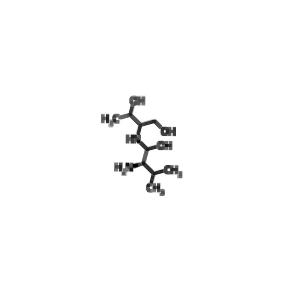 CC(O)C(CO)NC(O)[C@H](N)C(C)C